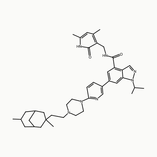 Cc1cc(C)c(CNC(=O)c2cc(-c3ccc(N4CCN(CCC5(C)CC6CC(C)CC(C6)C5)CC4)nc3)cc3c2cnn3C(C)C)c(=O)[nH]1